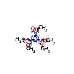 CCCN(CO)c1nc(N(COC)COC)nc(N(COC)COC)n1